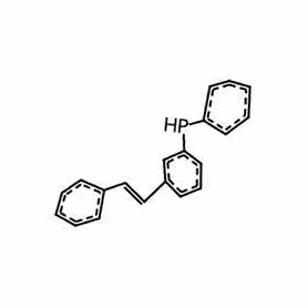 C(=C\c1cccc(Pc2ccccc2)c1)/c1ccccc1